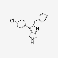 Clc1ccc(-c2c3c(nn2Cc2ccccc2)CNC3)cc1